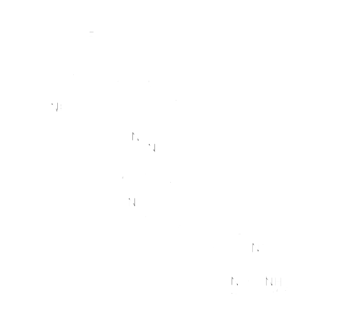 N#Cc1cc(F)cc(C2CCc3cn(-c4cncc(C#Cc5cnc(N)nc5)c4)nc32)c1